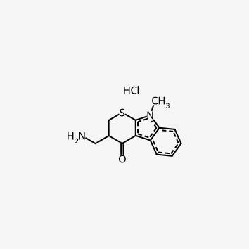 Cl.Cn1c2c(c3ccccc31)C(=O)C(CN)CS2